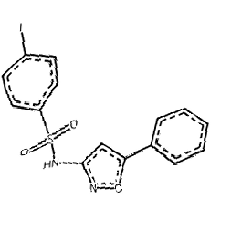 O=S(=O)(Nc1cc(-c2ccccc2)on1)c1ccc(I)cc1